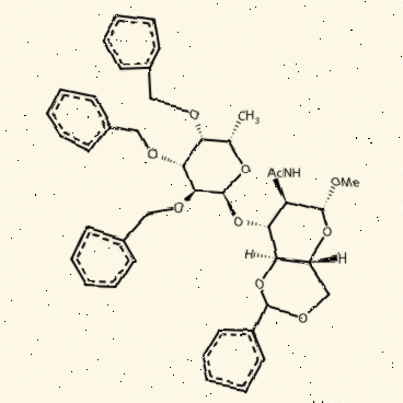 CO[C@@H]1O[C@@H]2COC(c3ccccc3)O[C@H]2[C@H](O[C@@H]2O[C@@H](C)[C@@H](OCc3ccccc3)[C@@H](OCc3ccccc3)[C@@H]2OCc2ccccc2)[C@H]1NC(C)=O